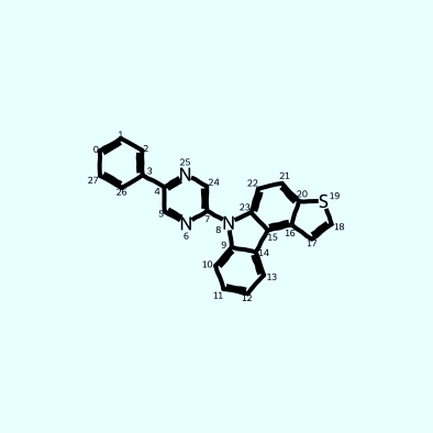 c1ccc(-c2cnc(-n3c4ccccc4c4c5ccsc5ccc43)cn2)cc1